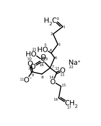 C=CCCC(O)CC(CC(=O)[O-])(C(=O)OCC=C)S(=O)(=O)O.[Na+]